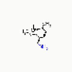 C#CC(=C)/C=C\C(=C/N)CCC